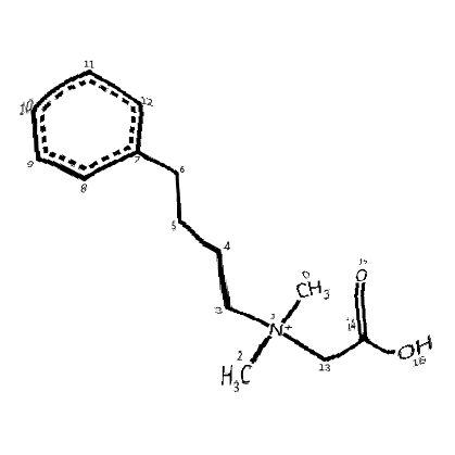 C[N+](C)(CCCCc1ccccc1)CC(=O)O